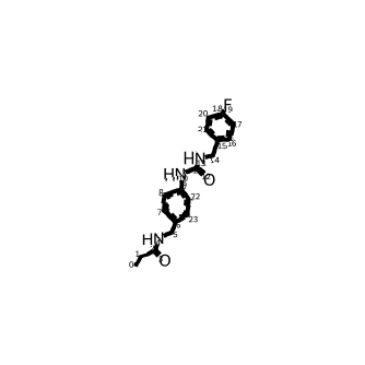 CCC(=O)NCc1ccc(NC(=O)NCc2ccc(F)cc2)cc1